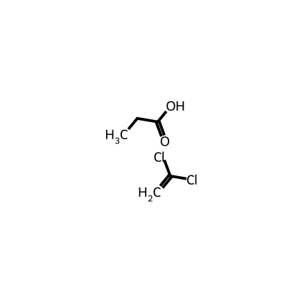 C=C(Cl)Cl.CCC(=O)O